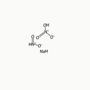 O=[N+]([O-])O.O=[NH+][O-].[NaH]